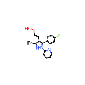 CC(C)c1nn(-c2ccccn2)c(-c2ccc(F)cc2)c1C=CCO